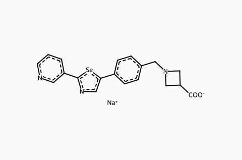 O=C([O-])C1CN(Cc2ccc(-c3cnc(-c4cccnc4)[se]3)cc2)C1.[Na+]